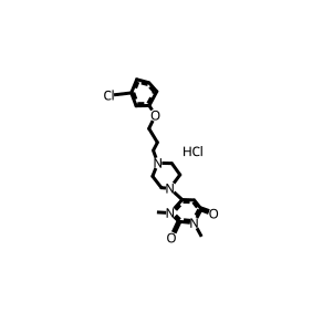 Cl.Cn1c(N2CCN(CCCOc3cccc(Cl)c3)CC2)cc(=O)n(C)c1=O